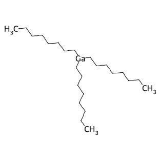 CCCCCCC[CH2][Ga]([CH2]CCCCCCC)[CH2]CCCCCCC